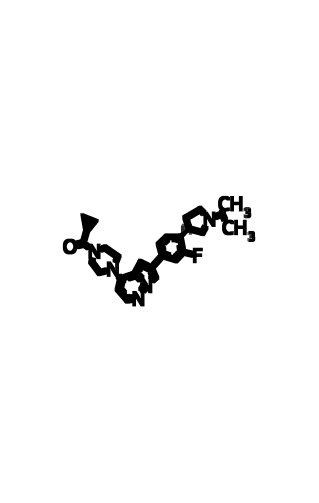 CC(C)N1CC[C@H](c2ccc(-c3cc4c(N5CCN(C(=O)C6CC6)CC5)ccnn4c3)cc2F)C1